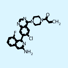 C=CC(=O)N1CCN(c2ncnc3cc(-c4nc(N)cc5cccc(F)c45)c(Cl)cc23)CC1